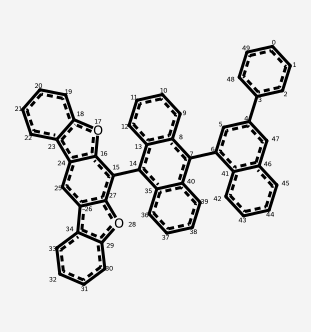 c1ccc(-c2cc(-c3c4ccccc4c(-c4c5oc6ccccc6c5cc5c4oc4ccccc45)c4ccccc34)c3ccccc3c2)cc1